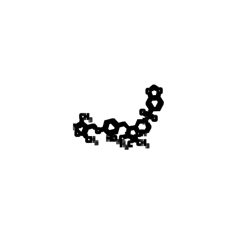 Cc1noc(C)c1COc1ccc(C[C@H]2[C@@H](CN(CC(C)C)S(=O)(=O)c3ccc4c(c3)OCO4)OC(C)(C)N2C(=O)O)cc1